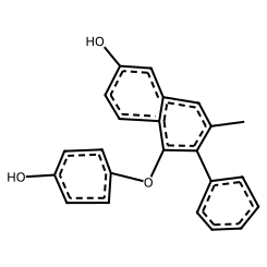 Cc1cc2cc(O)ccc2c(Oc2ccc(O)cc2)c1-c1ccccc1